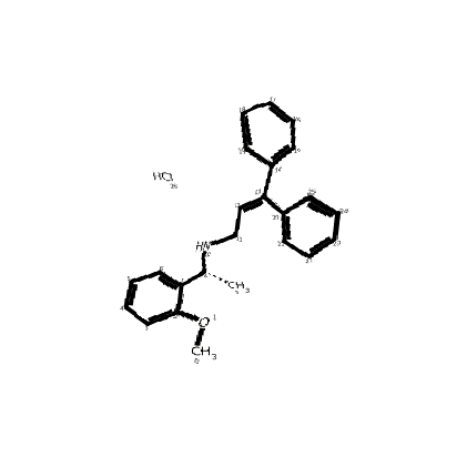 COc1ccccc1[C@@H](C)NCC=C(c1ccccc1)c1ccccc1.Cl